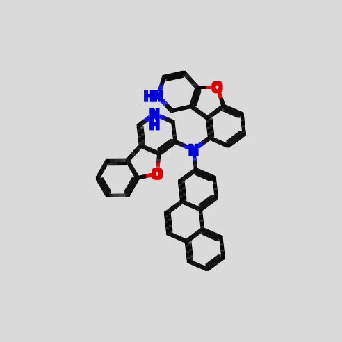 C1=Cc2oc3cccc(N(C4=c5oc6ccccc6c5=CNC4)c4ccc5c(ccc6ccccc65)c4)c3c2CN1